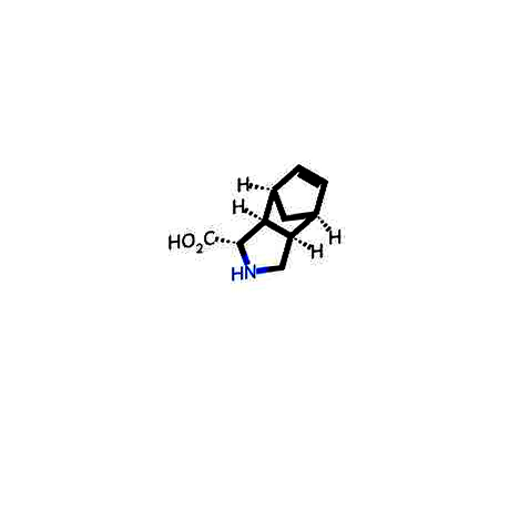 O=C(O)[C@H]1NC[C@H]2[C@@H]1[C@H]1C=C[C@@H]2C1